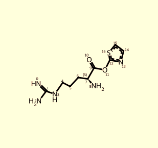 N=C(N)NCCC[C@H](N)C(=O)Oc1nccs1